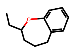 CCC1CCCc2ccccc2O1